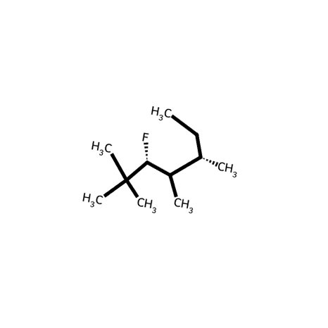 CC[C@H](C)C(C)[C@@H](F)C(C)(C)C